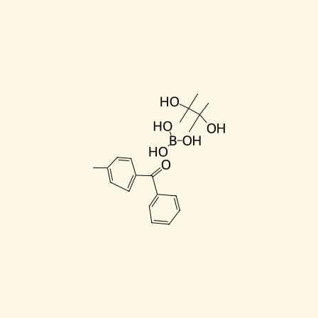 CC(C)(O)C(C)(C)O.Cc1ccc(C(=O)c2ccccc2)cc1.OB(O)O